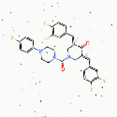 O=C1/C(=C/c2ccc(F)c(F)c2)CN(C(=O)N2CCN(c3ccc(F)cc3)CC2)C/C1=C\c1ccc(F)c(F)c1